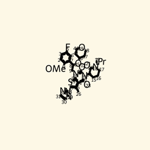 COc1ccc(F)cc1C(Cn1c(=O)n(C2CCCN(C(C)C)C2=O)c(=O)c2c(C)c(-n3nccn3)sc21)OC1CCOCC1